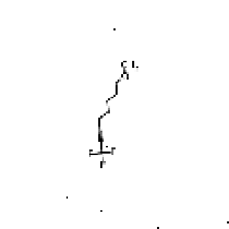 [CH2]OCCCCCC#CC(F)(F)F